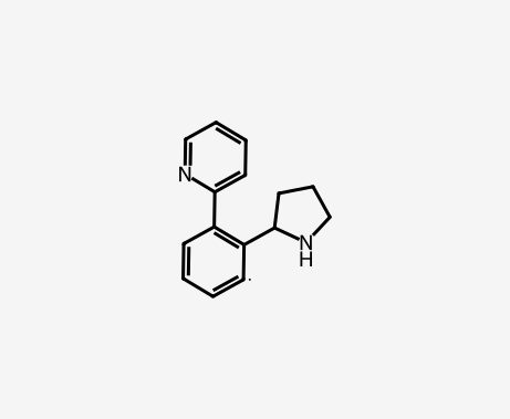 [c]1cccc(-c2ccccn2)c1C1CCCN1